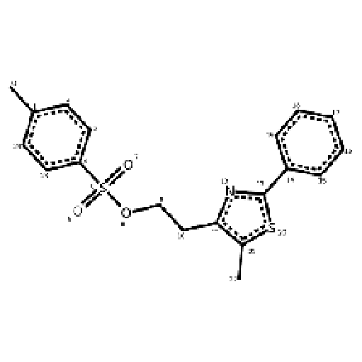 Cc1ccc(S(=O)(=O)OCCc2nc(-c3ccccc3)sc2C)cc1